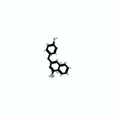 Fc1ccc(Cc2cc(Br)c3ccccc3c2)cc1